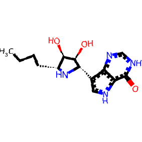 CCCC[C@H]1N[C@@H](c2c[nH]c3c(=O)[nH]cnc23)[C@H](O)[C@@H]1O